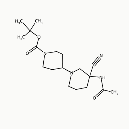 CC(=O)NC1(C#N)CCCN(C2CCN(C(=O)OC(C)(C)C)CC2)C1